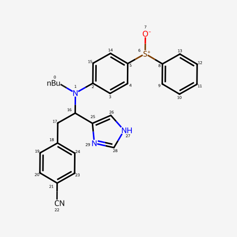 CCCCN(c1ccc([S+]([O-])c2ccccc2)cc1)C(Cc1ccc(C#N)cc1)c1c[nH]cn1